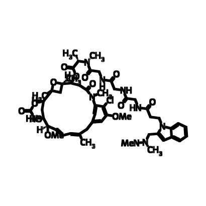 CNN(C)Cc1cc2ccccc2n1CCC(=O)NCC(=O)NCC(=O)NCC(=O)N(C)[C@@H](C)C(=O)O[C@H]1CC(=O)N(C)c2cc(cc(OC)c2Cl)C/C(C)=C/C=C/[C@@H](OC)[C@@]2(O)C[C@H](OC(=O)N2)C2(C)C[C@@]1(C)O2